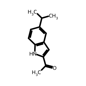 CC(=O)c1cc2cc(C(C)C)ccc2[nH]1